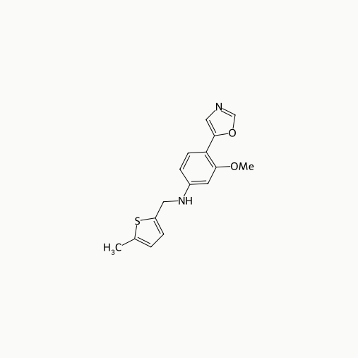 COc1cc(NCc2ccc(C)s2)ccc1-c1cnco1